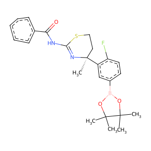 CC1(C)OB(c2ccc(F)c([C@]3(C)CCSC(NC(=O)c4ccccc4)=N3)c2)OC1(C)C